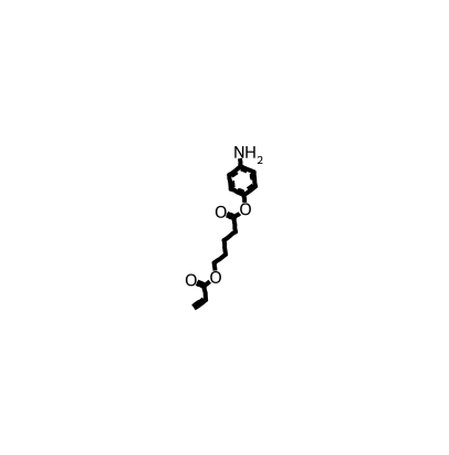 C=CC(=O)OCCCCC(=O)Oc1ccc(N)cc1